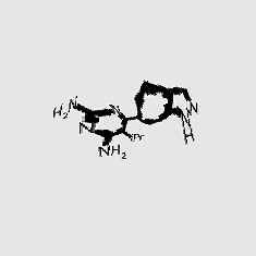 CC(C)c1c(N)nc(N)nc1-c1ccc2cn[nH]c2c1